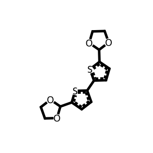 c1cc(C2OCCO2)sc1-c1ccc(C2OCCO2)s1